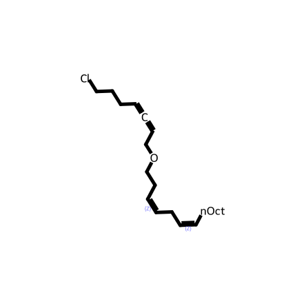 CCCCCCCC/C=C\C/C=C\CCOCC=C=CCCCCl